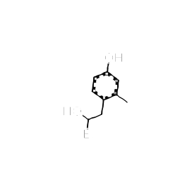 CCC(O)Cc1ccc(O)cc1C